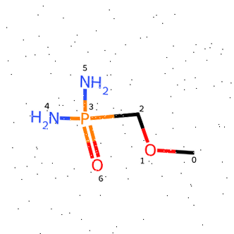 COCP(N)(N)=O